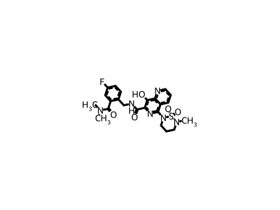 CN(C)C(=O)c1cc(F)ccc1CNC(=O)c1nc(N2CCCN(C)S2(=O)=O)c2cccnc2c1O